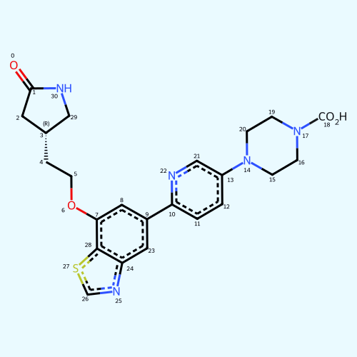 O=C1C[C@@H](CCOc2cc(-c3ccc(N4CCN(C(=O)O)CC4)cn3)cc3ncsc23)CN1